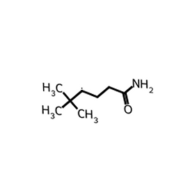 CC(C)(C)[CH]CCC(N)=O